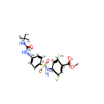 COC(=O)c1cc(F)c(NS(=O)(=O)c2ccc(NC(=O)NC(C)(C)C)cc2)cc1F